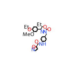 CCOc1ccc(C2=NN(Cc3ccc(NC(=O)c4ccno4)cc3)C(=O)OC2CC)cc1OC